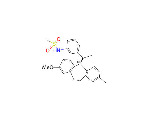 COc1ccc2c(c1)CCc1cc(C)ccc1[C@@H]2C(C)c1cccc(NS(C)(=O)=O)c1